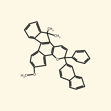 COc1ccc2c3c(c4c(c2c1)OC(c1ccccc1)(c1ccc2ccccc2c1)C=C4)C(C)(C)c1ccccc1-3